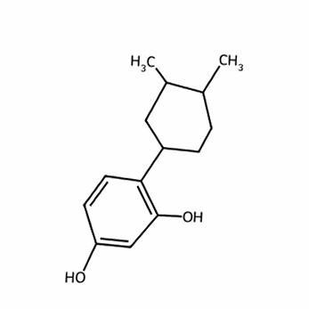 CC1CCC(c2ccc(O)cc2O)CC1C